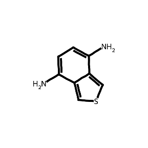 Nc1ccc(N)c2cscc12